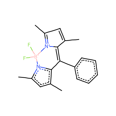 CC1=CC(C)=[N+]2C1=C(c1ccccc1)c1c(C)cc(C)n1[B-]2(F)F